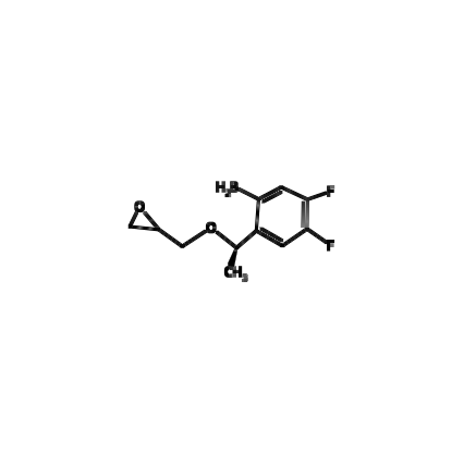 Bc1cc(F)c(F)cc1[C@@H](C)OCC1CO1